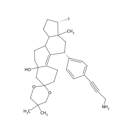 CC1(C)COC2(CCC3=C4C(CCC3(O)C2)C2CC[C@H](I)C2(C)C[C@@H]4c2ccc(C#CCN)cc2)OC1